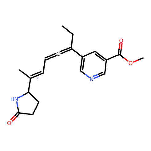 CCC(=C=C/C=C(\C)C1CCC(=O)N1)c1cncc(C(=O)OC)c1